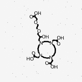 O=C(O)COCCOCC(O)CN1CCCN(CC(=O)O)CCN(CC(=O)O)CCCCN(CC(=O)O)CC1